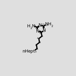 CCCCCCCCCCCCc1nc(N)nc(N)n1